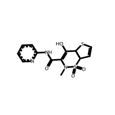 CN1C(C(=O)Nc2ccccn2)=C(O)C2SC=CC2S1(=O)=O